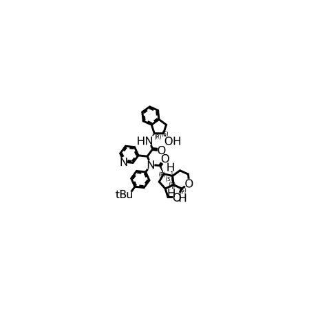 CC(C)(C)c1ccc(N(C(=O)[C@@H]2CC3CO[C@@H]4OCC[C@H]2[C@H]34)C(C(=O)N[C@@H]2c3ccccc3C[C@@H]2O)c2cccnc2)cc1